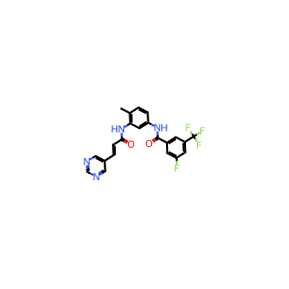 Cc1ccc(NC(=O)c2cc(F)cc(C(F)(F)F)c2)cc1NC(=O)C=Cc1cncnc1